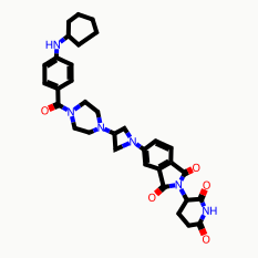 O=C1CCC(N2C(=O)c3ccc(N4CC(N5CCN(C(=O)c6ccc(NC7CCCCC7)cc6)CC5)C4)cc3C2=O)C(=O)N1